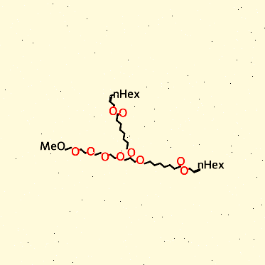 CCCCCC/C=C\COC(=O)CCCCCCCOCC(COCCOCCOCCOCCOC)OCCCCCCCC(=O)OC/C=C\CCCCCC